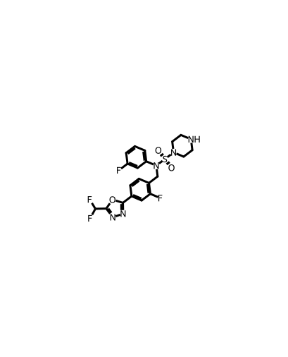 O=S(=O)(N1CCNCC1)N(Cc1ccc(-c2nnc(C(F)F)o2)cc1F)c1cccc(F)c1